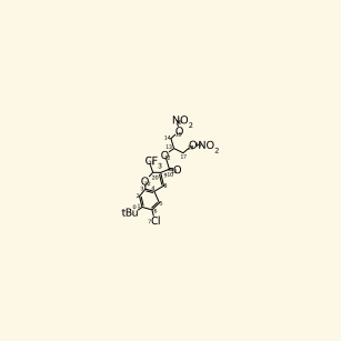 CC(C)(C)c1cc2c(cc1Cl)C=C(C(=O)OC(CO[N+](=O)[O-])CO[N+](=O)[O-])C(C(F)(F)F)O2